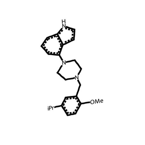 COc1ccc(C(C)C)cc1CN1CCN(c2cccc3[nH]ccc23)CC1